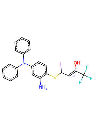 Nc1cc(N(c2ccccc2)c2ccccc2)ccc1SC(I)/C=C(\O)C(F)(F)F